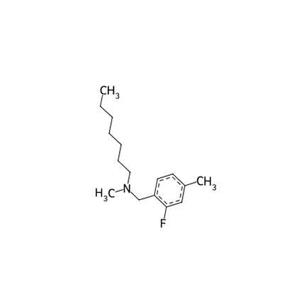 CCCCCCCN(C)Cc1ccc(C)cc1F